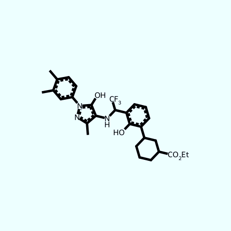 CCOC(=O)C1CCCC(c2cccc(C(Nc3c(C)nn(-c4ccc(C)c(C)c4)c3O)C(F)(F)F)c2O)C1